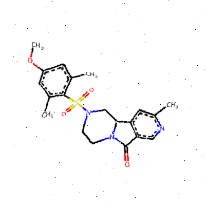 COc1cc(C)c(S(=O)(=O)N2CCN3C(=O)c4cnc(C)cc4C3C2)c(C)c1